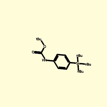 CCC[CH2][Sn]([CH2]CCC)([CH2]CCC)[c]1ccc(NC(=O)OC(C)(C)C)cc1